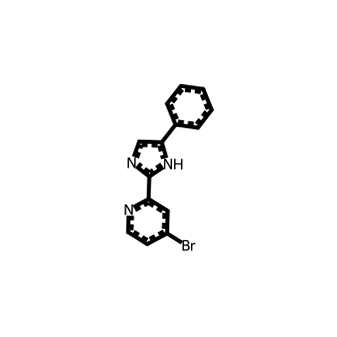 Brc1ccnc(-c2ncc(-c3ccccc3)[nH]2)c1